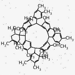 CC1=CC([C@H]2c3cc(c(O)cc3C)C(C3(C)CC(C)=C(C)CC3C)c3cc(c(O)cc3O)C(c3cc(C)c(C)cc3C)c3cc(c(O)cc3O)C(c3cc(C)c(C)cc3C)c3cc2c(O)cc3O)C(C)(C)C=C1C